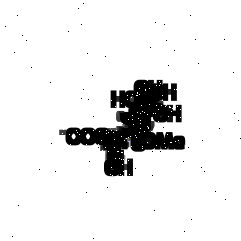 C=C[C@H]1[C@H](O[C@@H]2O[C@H](CO)[C@@H](O)[C@H](O)[C@H]2O)OC=C(C(=O)OC)[C@H]1/C=C/c1cc(C(=O)[O-])c[n+](CCO)c1